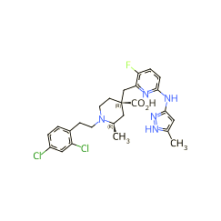 Cc1cc(Nc2ccc(F)c(C[C@@]3(C(=O)O)CCN(CCc4ccc(Cl)cc4Cl)[C@H](C)C3)n2)n[nH]1